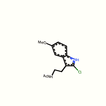 COc1ccc2[nH]c(Cl)c(CCNC(C)=O)c2c1